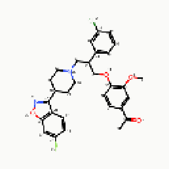 COc1cc(C(C)=O)ccc1OCC(CN1CCC(c2noc3cc(F)ccc23)CC1)c1cccc(Cl)c1